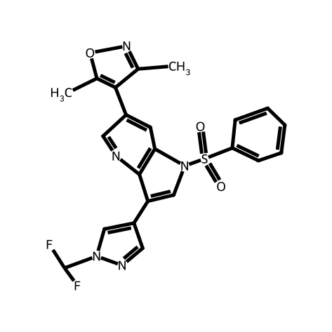 Cc1noc(C)c1-c1cnc2c(-c3cnn(C(F)F)c3)cn(S(=O)(=O)c3ccccc3)c2c1